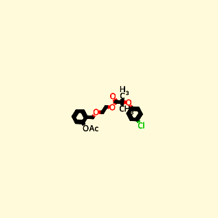 CC(=O)Oc1ccccc1COCCOC(=O)C(C)(C)Oc1ccc(Cl)cc1